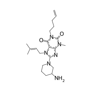 C=CCCCn1c(=O)c2c(nc(N3CCCC(N)C3)n2CC=C(C)C)n(C)c1=O